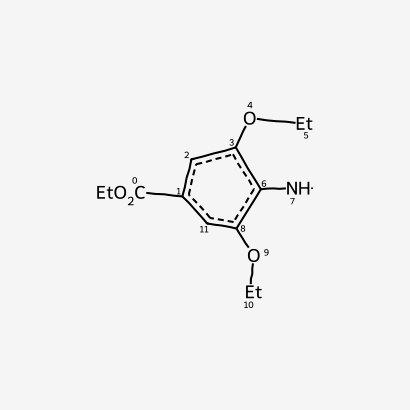 CCOC(=O)c1cc(OCC)c([NH])c(OCC)c1